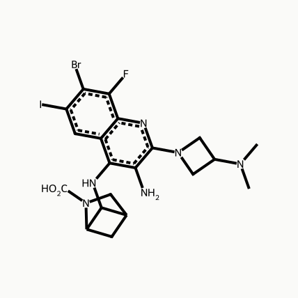 CN(C)C1CN(c2nc3c(F)c(Br)c(I)cc3c(NC3C4CC3N(C(=O)O)C4)c2N)C1